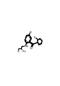 O=C(c1ccccc1F)c1cc(Br)ccc1NCC(O)CCl